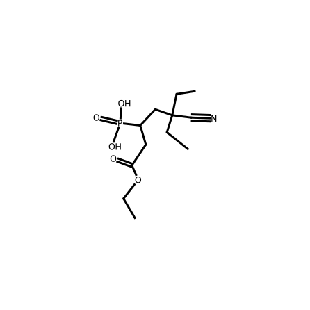 CCOC(=O)CC(CC(C#N)(CC)CC)P(=O)(O)O